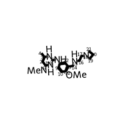 CNC1CC(C)NC(Nc2ccc(OC)c(CNCCN3CCC3)c2)N1